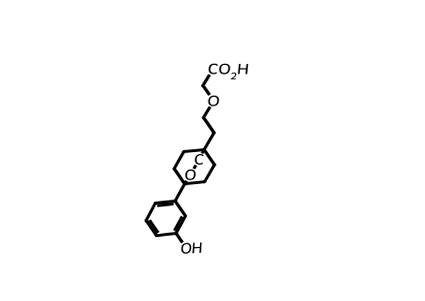 O=C(O)COCCC12CCC(c3cccc(O)c3)(CC1)OC2